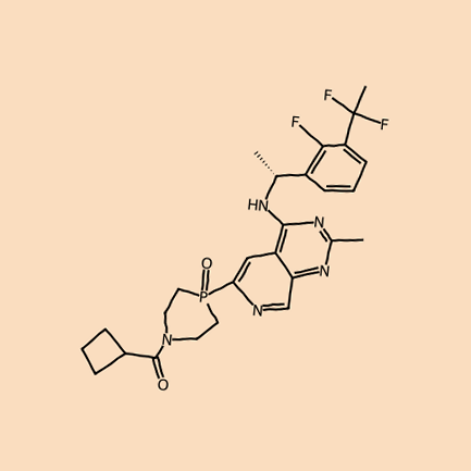 Cc1nc(N[C@H](C)c2cccc(C(C)(F)F)c2F)c2cc(P3(=O)CCN(C(=O)C4CCC4)CC3)ncc2n1